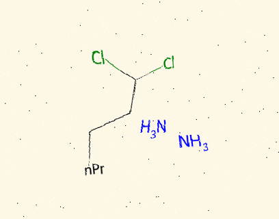 CCCCCC(Cl)Cl.N.N